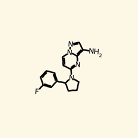 Nc1cnn2ccc(N3CCCC3c3cccc(F)c3)nc12